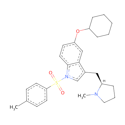 Cc1ccc(S(=O)(=O)n2cc(C[C@H]3CCCN3C)c3cc(OC4CCCCC4)ccc32)cc1